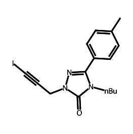 CCCCn1c(-c2ccc(C)cc2)nn(CC#CI)c1=O